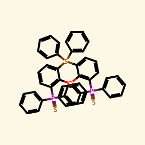 S=P(c1ccccc1)(c1ccccc1)c1cccc2c1Oc1c(P(=S)(c3ccccc3)c3ccccc3)cccc1S2(c1ccccc1)c1ccccc1